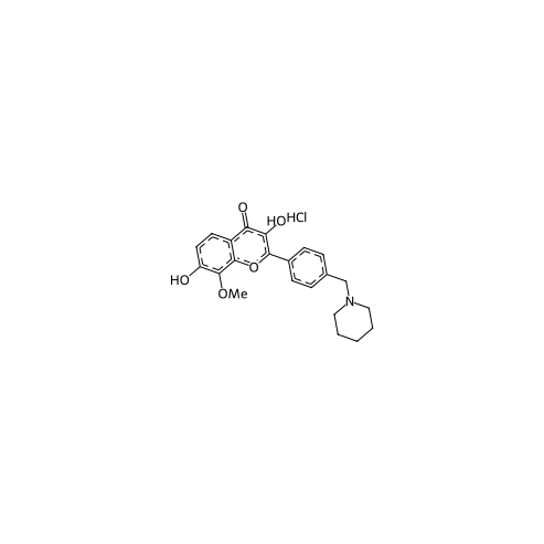 COc1c(O)ccc2c(=O)c(O)c(-c3ccc(CN4CCCCC4)cc3)oc12.Cl